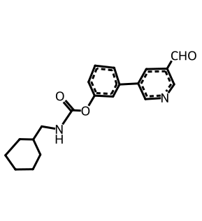 O=Cc1cncc(-c2cccc(OC(=O)NCC3CCCCC3)c2)c1